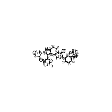 CN1OC(CO)Cn2nc3c(c2C1=O)CN(C(=O)Nc1cccc(S(F)(F)(F)(F)F)c1)CC3